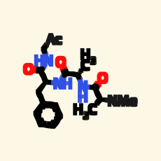 CN[C@@H](C)C(=O)N[C@@H](C)C(=O)N[C@@H](Cc1ccccc1)C(=O)NCC(C)=O